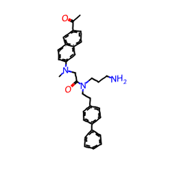 CC(=O)c1ccc2cc(N(C)CC(=O)N(CCCN)CCc3ccc(-c4ccccc4)cc3)ccc2c1